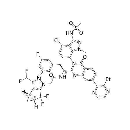 CCc1nccnc1-c1ccc2c(=O)n(-c3ccc(Cl)c4c(NS(C)(=O)=O)nn(C)c34)c([C@H](Cc3cc(F)cc(F)c3)NC(=O)Cn3nc(C(F)F)c4c3C(F)(F)[C@@H]3C[C@H]43)nc2c1